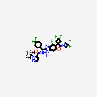 [2H]C([2H])([2H])n1nccc1C(=O)N[C@H](c1nc2c(F)c(C3(C(=O)N4CC(F)(F)C4)CC(F)(F)C3)ccc2[nH]1)C1CCC(F)(F)CC1